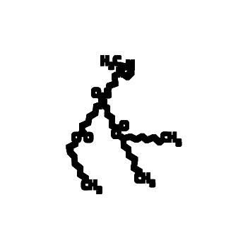 CCCCCC/C=C\COC(=O)CCCCCN(CCCCC(=O)OC(CCCCCCC)CCCCCCC)C(=O)SCCCn1ccnc1C